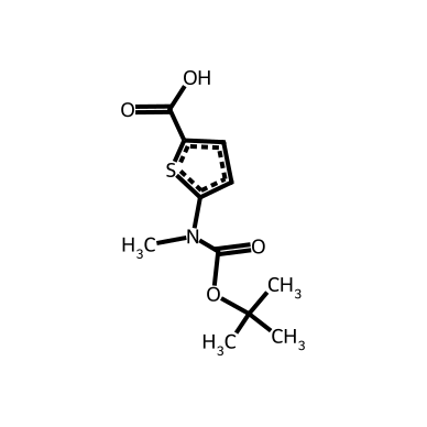 CN(C(=O)OC(C)(C)C)c1ccc(C(=O)O)s1